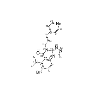 CN(C)c1c(Br)ccc2c1c(=O)n(CC=Cc1ccncc1)c1nncn21